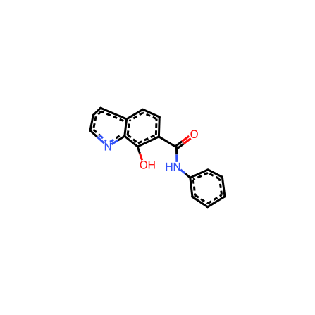 O=C(Nc1ccccc1)c1ccc2cccnc2c1O